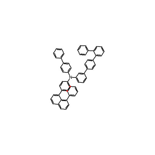 c1ccc(-c2ccc(N(c3ccc(-c4cccc5cccc(-c6ccccc6)c45)cc3)c3cccc(-c4ccc(-c5ccccc5-c5ccccc5)cc4)c3)cc2)cc1